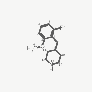 COc1cccc(F)c1CC1CCNCC1